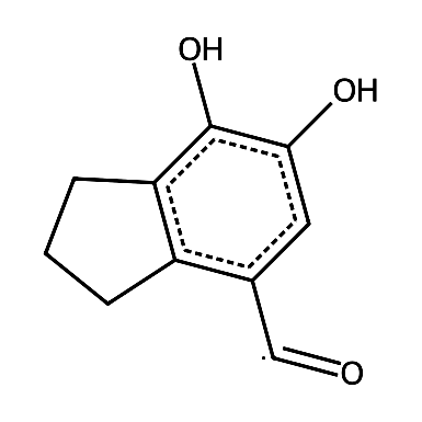 O=[C]c1cc(O)c(O)c2c1CCC2